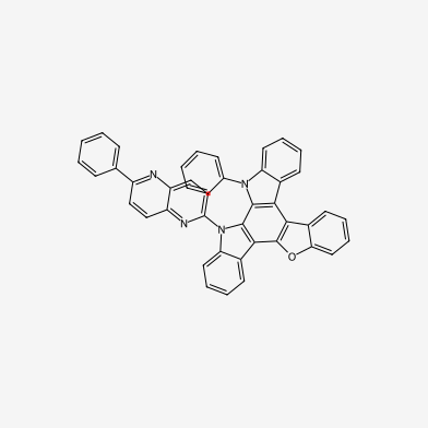 c1ccc(-c2ccc3nc(-n4c5ccccc5c5c6oc7ccccc7c6c6c7ccccc7n(-c7ccccc7)c6c54)ccc3n2)cc1